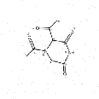 CC(=O)C1C(=O)NC(=O)CN1C(C)=O